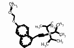 COCOc1c[c]c2c(C#C[Si](C(C)C)(C(C)C)C(C)C)cccc2c1